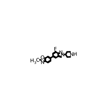 Cc1nc2ccc(-c3cc(F)c4nn(C5CCNCC5)cc4c3)cc2o1